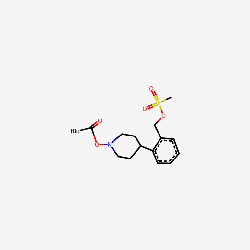 CC(C)(C)C(=O)ON1CCC(c2ccccc2COS(C)(=O)=O)CC1